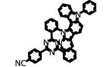 N#Cc1ccc(-c2nc(-c3ccccc3)nc(-c3ccccc3-n3c4ncccc4c4ccc5c(c6ccccc6n5-c5ccccc5)c43)n2)cc1